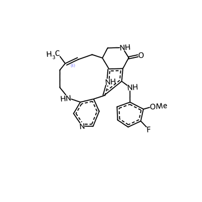 COc1c(F)cccc1Nc1c2[nH]c3c1C(=O)NCC3C/C=C(\C)CCNc1cnccc1-2